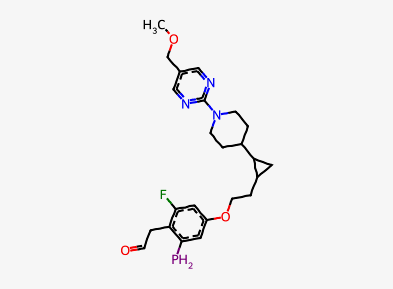 COCc1cnc(N2CCC(C3CC3CCOc3cc(F)c(CC=O)c(P)c3)CC2)nc1